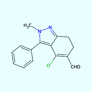 Cn1nc2c(c1-c1ccccc1)C(Cl)=C(C=O)CC2